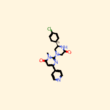 Cn1c(N2CC(=O)NC([C@@H]3C=CC(Cl)=CC3)C2)nc(-c2ccncc2)cc1=O